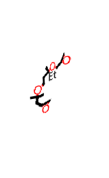 CCC(C)(CCOC(C)(C)CC1CO1)OCC1CO1